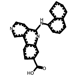 O=C(O)c1ccc2c(c1)nc(Nc1cccc3ccccc13)c1ccncc12